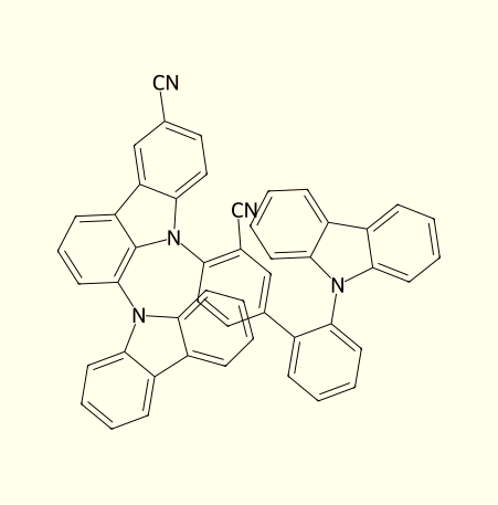 N#Cc1ccc2c(c1)c1cccc(-n3c4ccccc4c4ccccc43)c1n2-c1ccc(-c2ccccc2-n2c3ccccc3c3ccccc32)cc1C#N